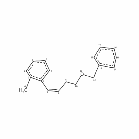 Cc1ccccc1/C=C\CCOCc1ccccc1